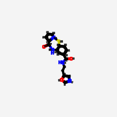 O=C(NCCc1cnco1)c1ccc2c(c1)NC(=O)c1cccn1S2